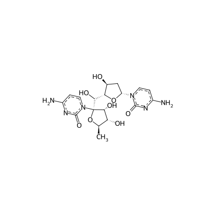 C[C@H]1O[C@@](C(O)[C@H]2O[C@@H](n3ccc(N)nc3=O)C[C@@H]2O)(n2ccc(N)nc2=O)[C@H](O)[C@@H]1O